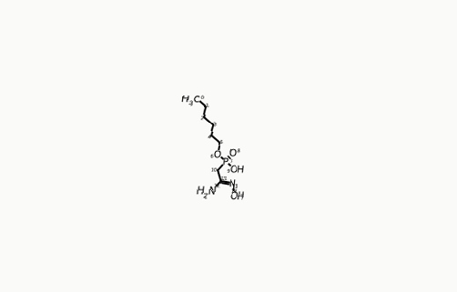 CCCCCCOP(=O)(O)CC(N)=NO